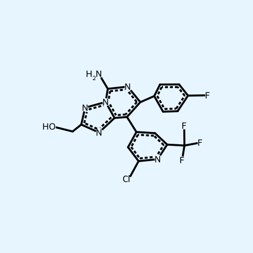 Nc1nc(-c2ccc(F)cc2)c(-c2cc(Cl)nc(C(F)(F)F)c2)c2nc(CO)nn12